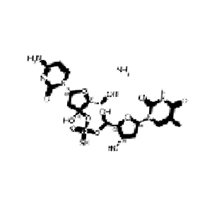 Cc1cn([C@H]2C[C@H](O)[C@@H](C(O)OP(=O)(S)O[C@]3(O)C[C@H](n4ccc(N)nc4=O)O[C@@H]3CO)O2)c(=O)[nH]c1=O.N